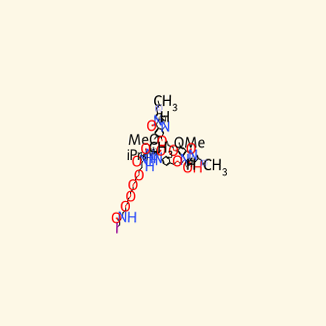 C/C=C/C1=CN2C(=O)c3cc(OC)c(OCCCOc4cc5c(cc4OC)C(=O)N4C=C(/C=C/C)C[C@H]4[C@H](O)N5COCc4ccc(NC(=O)[C@H](C)NC(=O)[C@@H](NC(=O)CCOCCOCCOCCOCCNC(=O)CI)C(C)C)cc4)cc3N=C[C@@H]2C1